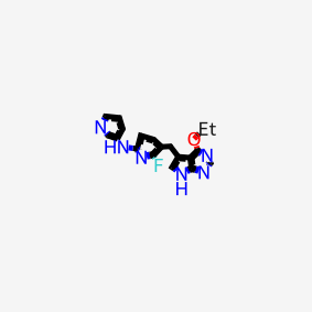 CCOc1ncnc2[nH]cc(Cc3ccc(Nc4cccnc4)nc3F)c12